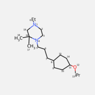 CCN1CCN(CCCC2CCC(OC(C)C)CC2)C(C)(C)C1